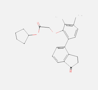 COc1ccc(-c2cccc3c2CCC3=O)c(OCC(=O)OC2CCCC2)c1OC